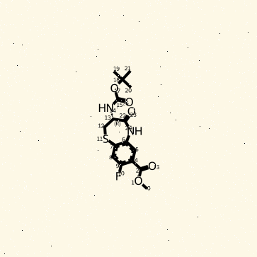 COC(=O)c1cc2c(cc1F)SC[C@H](NC(=O)OC(C)(C)C)C(=O)N2